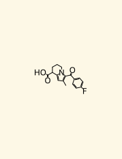 Cc1cc2n(c1C(=O)c1ccc(F)cc1)CCCC2C(=O)O